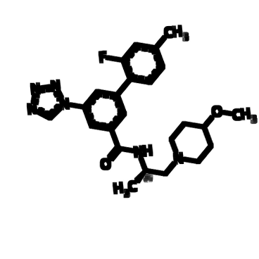 COC1CCN(C[C@@H](C)NC(=O)c2cc(-c3ccc(C)cc3F)cc(-n3cnnn3)c2)CC1